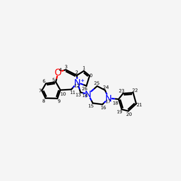 C1=CC2=COc3ccccc3C[N+]2(CN2CCN(c3ccccc3)CC2)C1